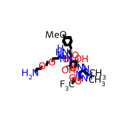 COc1ccc(C[C@H](NC(=O)NCCOCCOCCN)C(=O)N[C@H]2[C@@H](O)[C@H](n3cnc4c(N(C)C)nc(OC(=O)C(F)(F)F)nc43)O[C@@H]2CO)cc1